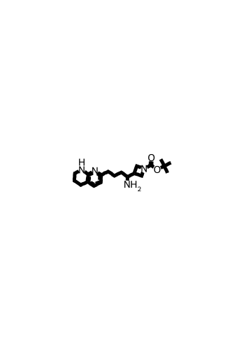 CC(C)(C)OC(=O)N1CC(C(N)CCCc2ccc3c(n2)NCCC3)C1